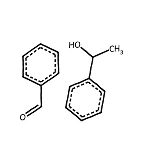 CC(O)c1ccccc1.O=Cc1ccccc1